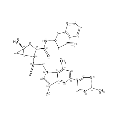 C#CCC(Cc1ccccc1)NC(=O)[C@@H]1C[C@@]2(C)CC2N1C(=O)Cn1nc(C(C)=O)c2cc(-c3cnc(C)nc3)cc(C)c21